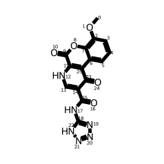 COc1cccc2c1oc(=O)c1[nH]cc(C(=O)Nc3nnn[nH]3)c(=O)c12